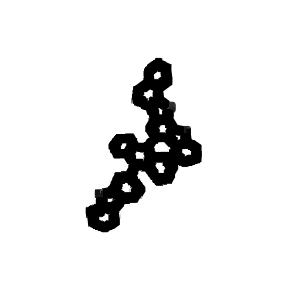 c1ccc2c(c1)ccc1c3cc(-c4c5ccccc5c(-c5ccc6c(c5)oc5ccccc56)c5ccccc45)c4c5ccccc5oc4c3oc21